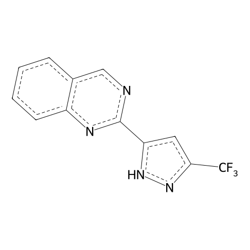 FC(F)(F)c1cc(-c2ncc3ccccc3n2)[nH]n1